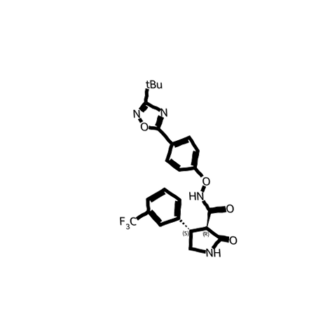 CC(C)(C)c1noc(-c2ccc(ONC(=O)[C@H]3C(=O)NC[C@@H]3c3cccc(C(F)(F)F)c3)cc2)n1